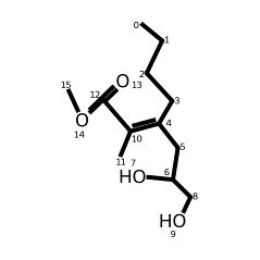 CCCCC(CC(O)CO)=C(C)C(=O)OC